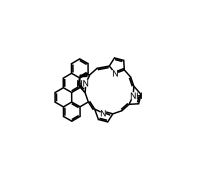 C1=Cc2cc3ccc([nH]3)c(-c3cccc4ccc5cc6ccccc6cc5c34)c3nc(cc4ccc(cc1n2)[nH]4)C=C3